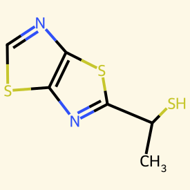 CC(S)c1nc2scnc2s1